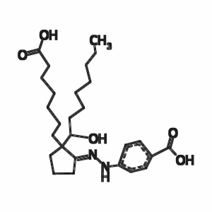 CCCCCCCC(O)C1(CCCCCCC(=O)O)CCC/C1=N\Nc1ccc(C(=O)O)cc1